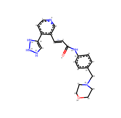 O=C(/C=C/c1cnccc1C1=CNNN1)Nc1ccc(CN2CCOCC2)cc1